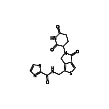 O=C1CCC(N2Cc3c(csc3CNC(=O)c3nccs3)C2=O)C(=O)N1